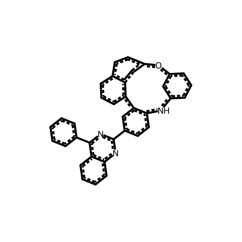 c1ccc(-c2nc(-c3ccc4[nH]c5cccc(c5)oc5ccc6cccc(c6c5)c4c3)nc3ccccc23)cc1